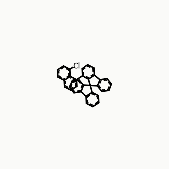 Clc1cccc2cccc(-c3cccc4c3C3(c5ccccc5-c5ccccc53)c3ccccc3-4)c12